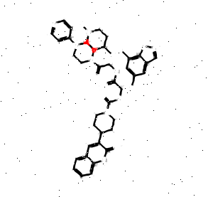 CCCN1CCC(C[C@H](NC(=O)[C@H](Cc2cc(C)c3[nH]ncc3c2)NC(=O)N2CCC(c3cc4ccccc4[nH]c3=O)CC2)C(=O)N2CCN(c3ccncc3)CC2)CC1